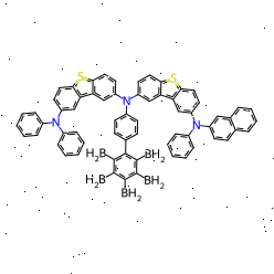 Bc1c(B)c(B)c(-c2ccc(N(c3ccc4sc5ccc(N(c6ccccc6)c6ccccc6)cc5c4c3)c3ccc4sc5ccc(N(c6ccccc6)c6ccc7ccccc7c6)cc5c4c3)cc2)c(B)c1B